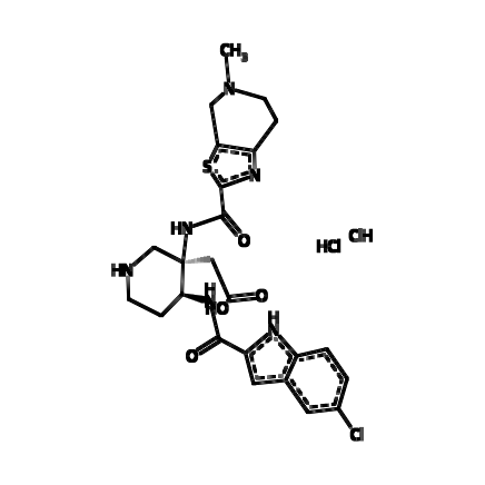 CN1CCc2nc(C(=O)N[C@]3(CC(=O)O)CNCC[C@@H]3NC(=O)c3cc4cc(Cl)ccc4[nH]3)sc2C1.Cl.Cl